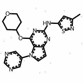 Cc1cc(Nc2nc(OC3CCOCC3)c3c(ccn3-c3cncnc3)n2)sn1